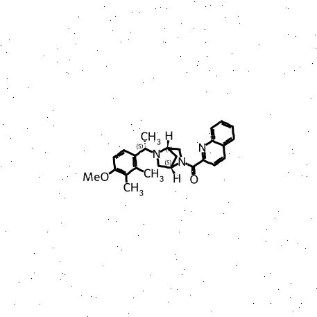 COc1ccc([C@H](C)N2C[C@@H]3C[C@H]2CN3C(=O)c2ccc3ccccc3n2)c(C)c1C